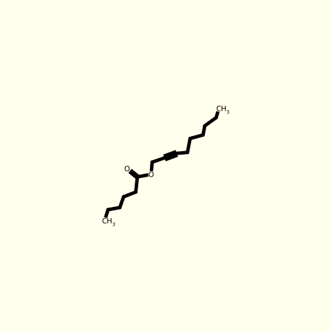 CCCCCCC#CCOC(=O)CCCCC